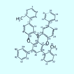 Cc1ccccc1-c1ccc2c(c1)B1c3cc(-c4ccccc4)ccc3Oc3c(-c4ccccc4C)cc(-c4ccccc4)c(c31)O2